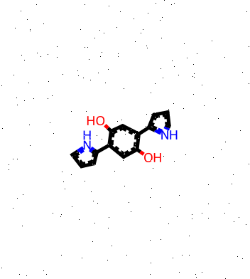 Oc1cc(-c2ccc[nH]2)c(O)cc1-c1ccc[nH]1